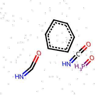 N=C=O.N=C=O.O=[PH3].c1ccccc1